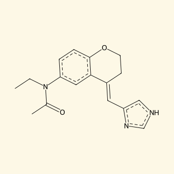 CCN(C(C)=O)c1ccc2c(c1)/C(=C/c1c[nH]cn1)CCO2